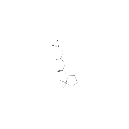 CC1(C)OCCN1C(=O)OC(O)CC1CC1